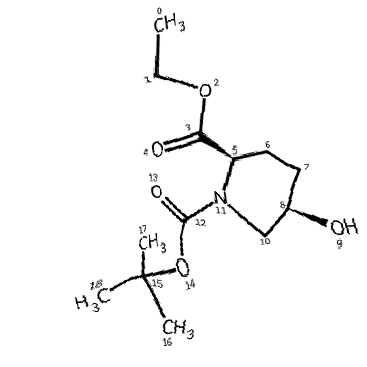 CCOC(=O)[C@H]1CC[C@@H](O)CN1C(=O)OC(C)(C)C